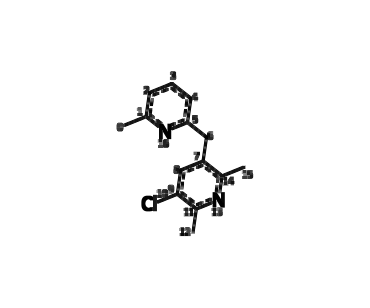 Cc1cccc(Cc2cc(Cl)c(C)nc2C)n1